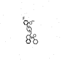 CCOc1cc(F)ccc1N1CCN(CC2CCc3ccccc3N2C(=O)C2CCCCC2)CC1